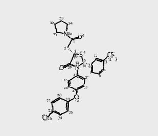 O=C(C[C@@H]1S[C@H](c2cccc(C(F)(F)F)c2)N(c2ccc(Oc3ccc(Cl)cc3)cc2)C1=O)N1CCCC1